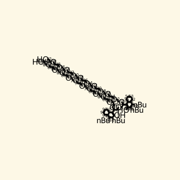 CCCCc1c(O)c(C(COCC(OCCOCCOCCOCCOCCOCCOCCOCCOCCOCCOCCO)c2c(O)c(CCCC)c(CCCC)c3ccccc23)OCCOCCOCCOCCOCCOCCOCCOCCOCCOCCOCCO)c2ccccc2c1CCCC